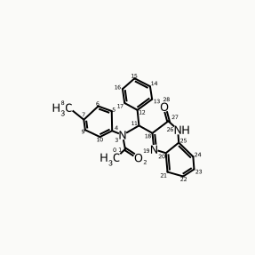 CC(=O)N(c1ccc(C)cc1)C(c1ccccc1)c1nc2ccccc2[nH]c1=O